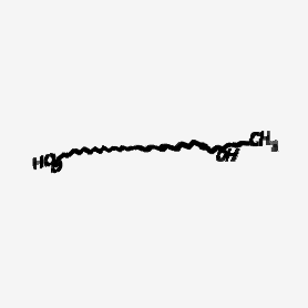 CCC=CCC(O)C=CC#CCC=CCC=CCC=CCCCCCCCCCCCCCCC(=O)O